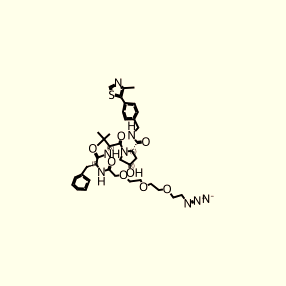 Cc1ncsc1-c1ccc(CNC(=O)[C@@H]2C[C@@H](O)CN2C(=O)[C@@H](NC(=O)[C@H](Cc2ccccc2)NC(=O)COCCOCCOCCN=[N+]=[N-])C(C)(C)C)cc1